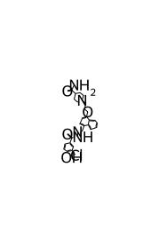 NC(=O)C1CCN(CCOc2ccc(C=NNC(=O)c3ccc(O)c(Cl)c3)c3ccccc23)CC1